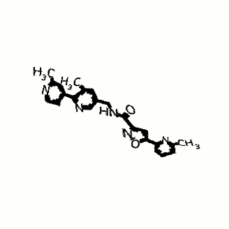 Cc1cc(-c2ncc(CNC(=O)c3cc(-c4cccc(C)n4)on3)cc2C)ccn1